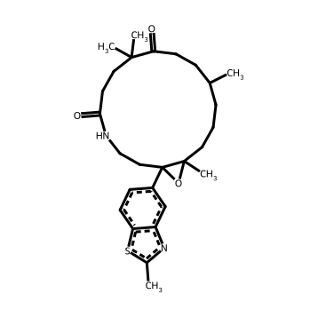 Cc1nc2cc(C34CCNC(=O)CCC(C)(C)C(=O)CCC(C)CCCC3(C)O4)ccc2s1